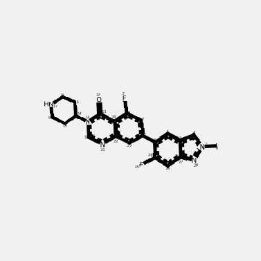 Cn1cc2cc(-c3cc(F)c4c(=O)n(C5CCNCC5)cnc4c3)c(F)cc2n1